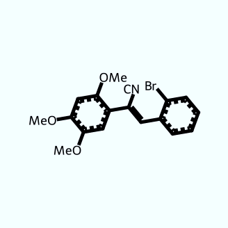 COc1cc(OC)c(/C(C#N)=C/c2ccccc2Br)cc1OC